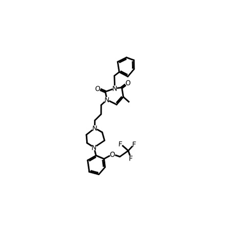 Cc1cn(CCCN2CCN(c3ccccc3OCC(F)(F)F)CC2)c(=O)n(Cc2ccccc2)c1=O